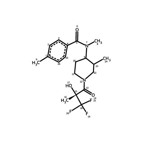 Cc1ccc(C(=O)N(C)C2CCN(C(=O)[C@@](C)(O)C(F)(F)F)CC2C)cc1